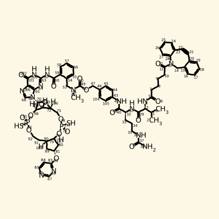 CC(C)[C@H](NC(=O)CCCCC(=O)N1Cc2ccccc2C#Cc2ccccc21)C(=O)N[C@@H](CCCNC(N)=O)C(=O)Nc1ccc(COC(=O)N(C)Cc2ccccc2C(=O)Nc2nc3c(ncn3[C@@H]3O[C@@H]4CO[P@@](=O)(S)O[C@H]5C[C@H](Oc6ccncn6)C[C@@H]5CCO[P@@](=O)(S)O[C@@H]3[C@@H]4O)c(=O)[nH]2)cc1